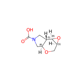 O=C(O)N1C[C@@H]2[C@H]3O[C@H]3CO[C@H]2C1